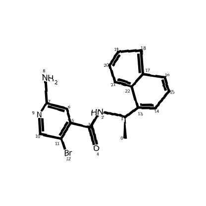 C[C@@H](NC(=O)c1cc(N)ncc1Br)c1cccc2ccccc12